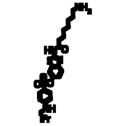 CC(C)CNc1ccc(S(=O)(=O)Oc2ccc3nc(NC(=O)CCCCCCCN)sc3c2)cc1